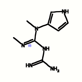 C/N=C(/NC(=N)N)N(C)c1cc[nH]c1